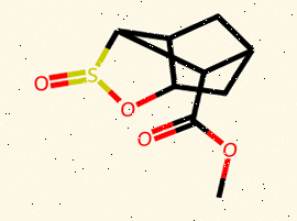 COC(=O)C1C2CC3OS(=O)C1C3C2